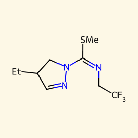 CCC1C=NN(/C(=N\CC(F)(F)F)SC)C1